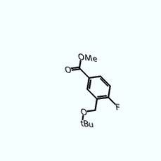 COC(=O)c1ccc(F)c(COC(C)(C)C)c1